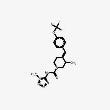 CC1CN(C(=O)Nc2nnnn2C)CCC1=Cc1ccc(OC(F)(F)F)cc1